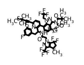 CSC(C)(C)C#Cc1ccc(-c2ccc(Cl)c3c(N(C(=O)C(C)(C)C)[S+](C)[O-])nn(CC(F)(F)F)c23)c(C(Cc2cc(F)cc(F)c2)NC(=O)Cn2nc(C(F)(F)F)c3c2C(F)(F)C[C@@H]3C)n1